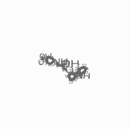 O=C(O)N1CCC(NCC(O)COc2cccc3[nH]c4ccccc4c23)CC1